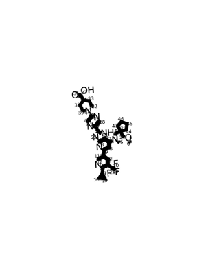 COCC1(CN(C)c2cc(-c3cnc(C4CC4)c(C(F)(F)F)c3)nc3nc(-c4cnc(N5CCC(C(=O)O)CC5)cn4)[nH]c23)CCCC1